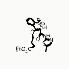 CCOC(=O)CCCOC1=C(C(=O)Nc2ncc(C)s2)NS(=O)(=O)c2ccccc21